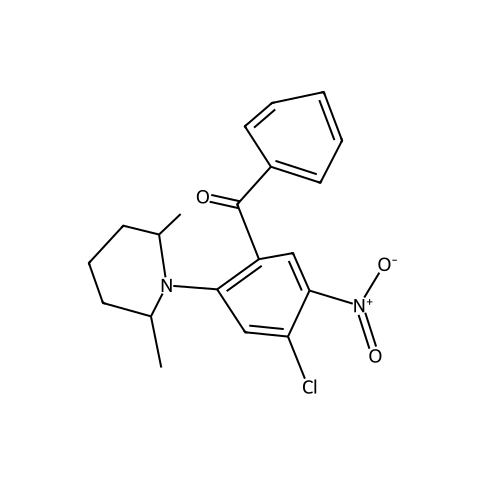 CC1CCCC(C)N1c1cc(Cl)c([N+](=O)[O-])cc1C(=O)c1ccccc1